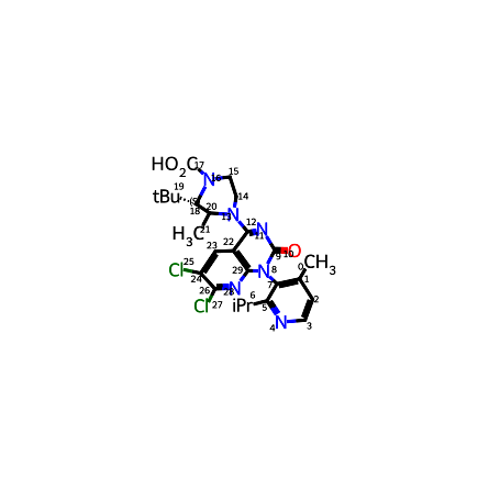 Cc1ccnc(C(C)C)c1-n1c(=O)nc(N2CCN(C(=O)O)[C@@H](C(C)(C)C)C2C)c2cc(Cl)c(Cl)nc21